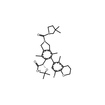 Cc1c(-c2c(C)c3c(c(C)c2[C@H](OC(C)(C)C)C(=O)O)CN(C(=O)N2CCC(C)(C)C2)C3)cc(F)c2c1CCCO2